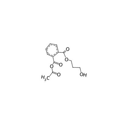 CC(=O)OC(=O)c1ccccc1C(=O)OCCCO